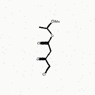 COC(C)OC(=O)CC(=O)CCl